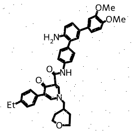 CCc1ccc(-c2cn(CC3CCOCC3)cc(C(=O)Nc3ccc(-c4cc(-c5ccc(OC)c(OC)c5)ccc4N)cc3)c2=O)cc1